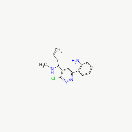 C=CCC(NC)c1cc(-c2ccccc2N)nnc1Cl